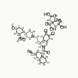 COc1ccc(C2CCN(CCC(CN(C)C(=O)c3cc(C#N)cc4ccccc34)c3ccc(Cl)c(Cl)c3)CC2)c([S@+](C)[O-])c1.O=C(O)CC(O)(CC(=O)O)C(=O)O